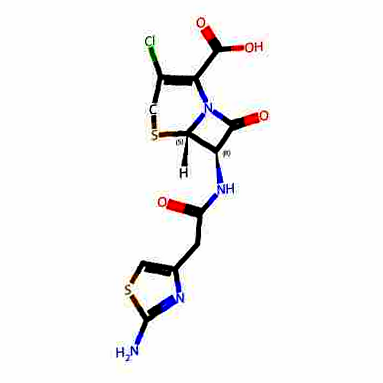 Nc1nc(CC(=O)N[C@@H]2C(=O)N3C(C(=O)O)=C(Cl)CS[C@@H]23)cs1